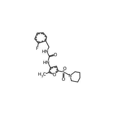 Cc1oc(S(=O)(=O)N2CCCCC2)cc1NC(=O)NCc1ccccc1F